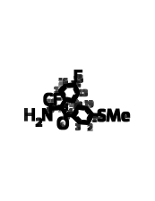 CSc1ccc(C(=O)/C(=C(\N)C(F)(F)F)c2ccc(F)cc2)cc1